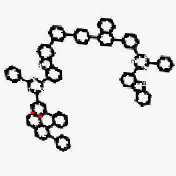 c1ccc(-c2nc(-c3cccc(-c4ccc(-c5ccc(-c6cccc(-c7ccc8oc9c(-c%10nc(-c%11ccccc%11)nc(-c%11cccc(-c%12ccccc%12-c%12c(-c%13ccccc%13)ccc%13ccccc%12%13)c%11)n%10)cccc9c8c7)c6)cc5)c5ccccc45)c3)nc(-c3cccc4c3oc3ccccc34)n2)cc1